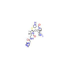 C[C@@H](NC(=O)Cn1cnnn1)[C@H]1C(=O)N2C(C(=O)O)=C(S[C@@H]3CN[C@H](C(=O)N4CCC(C(C)(C)N)C4)C3)[C@H](C)[C@H]12